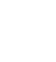 C[N]C(C)C